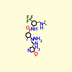 COc1cncc(/C(N)=C/N(N)c2cc(C(=O)Nc3cc(CNC(C)C)cc(C(F)(F)F)c3)ccc2C)c1